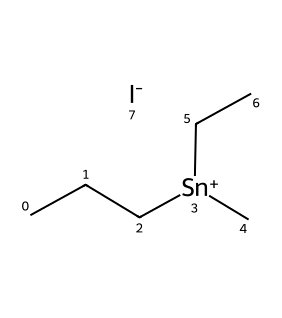 CC[CH2][Sn+]([CH3])[CH2]C.[I-]